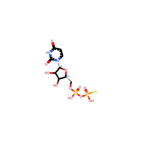 O=c1ccn([C@@H]2O[C@H](COP(=O)(O)OP(=O)(O)S)C(O)C2O)c(=O)[nH]1